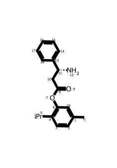 Cc1ccc(C(C)C)c(OC(=O)C[C@@H](N)c2ccccc2)c1